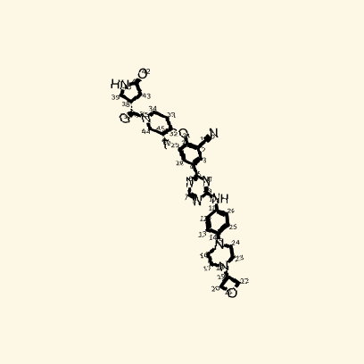 N#Cc1cc(-c2ncnc(Nc3ccc(N4CCN(C5COC5)CC4)cc3)n2)ccc1O[C@H]1CCN(C(=O)[C@@H]2CNC(=O)C2)C[C@H]1F